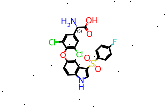 N[C@H](C(=O)O)c1cc(Cl)c(Oc2ccc3[nH]cc(S(=O)(=O)c4ccc(F)cc4)c3c2)c(Cl)c1